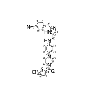 N#Cc1ccc(Cc2ncc(CNc3ccc(N4CCN(C(=O)c5ccc(Cl)s5)CC4)cc3)[nH]2)cc1